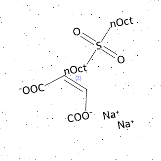 CCCCCCCCS(=O)(=O)CCCCCCCC.O=C([O-])/C=C\C(=O)[O-].[Na+].[Na+]